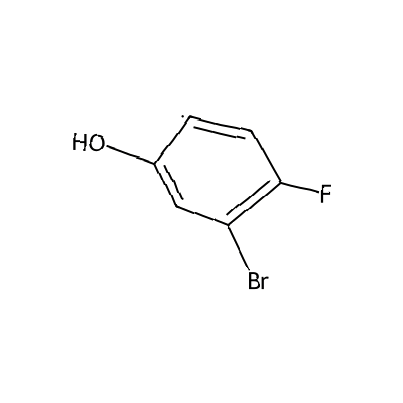 Oc1[c]cc(F)c(Br)c1